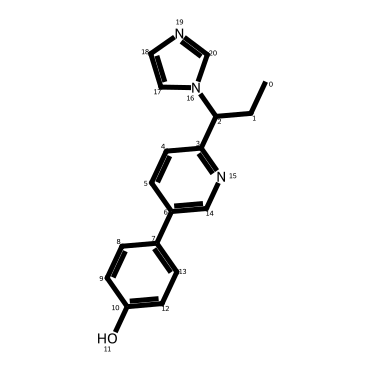 CCC(c1ccc(-c2ccc(O)cc2)cn1)n1ccnc1